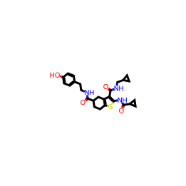 O=C(NCC1CC1)c1c(NC(=O)C2CC2)sc2c1CC(C(=O)NCCc1ccc(O)cc1)CC2